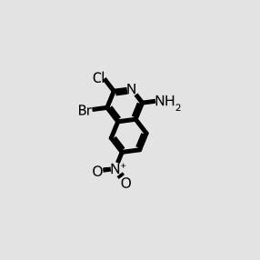 Nc1nc(Cl)c(Br)c2cc([N+](=O)[O-])ccc12